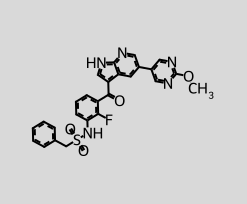 COc1ncc(-c2cnc3[nH]cc(C(=O)c4cccc(NS(=O)(=O)Cc5ccccc5)c4F)c3c2)cn1